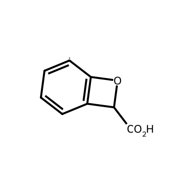 O=C(O)C1Oc2[c]cccc21